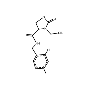 CCN1C(=O)OCC1C(=O)NCc1ccc(F)cc1Cl